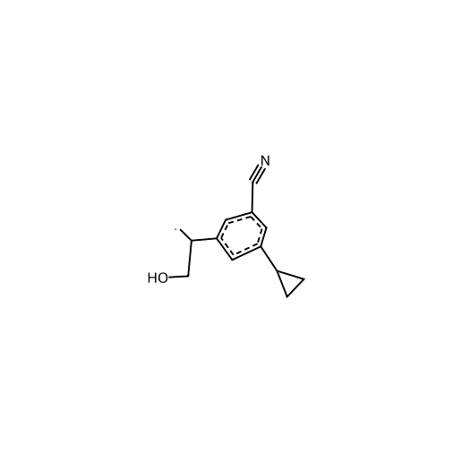 [CH2]C(CO)c1cc(C#N)cc(C2CC2)c1